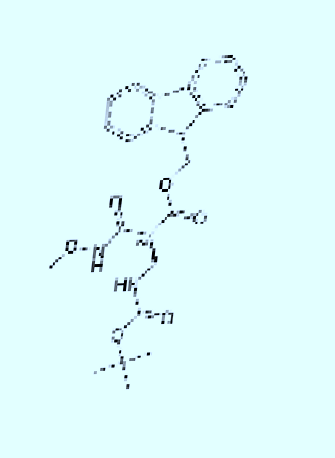 CONC(=O)[C@H](CNC(=O)OC(C)(C)C)C(=O)OCC1c2ccccc2-c2ccccc21